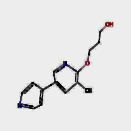 N#Cc1cc(-c2ccncc2)cnc1OCCCO